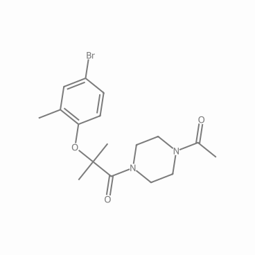 CC(=O)N1CCN(C(=O)C(C)(C)Oc2ccc(Br)cc2C)CC1